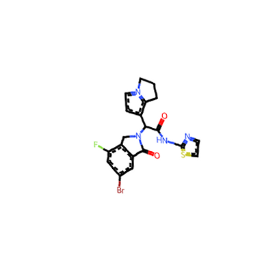 O=C(Nc1nccs1)C(c1ccn2c1CCC2)N1Cc2c(F)cc(Br)cc2C1=O